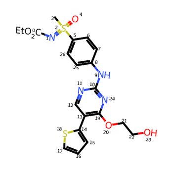 CCOC(=O)N=S(C)(=O)c1ccc(Nc2ncc(-c3cccs3)c(OCCO)n2)cc1